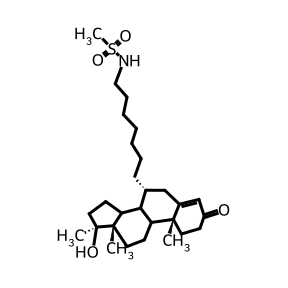 C[C@]12CCC(=O)C=C1C[C@@H](CCCCCCCNS(C)(=O)=O)C1C2CC[C@@]2(C)C1CC[C@]2(C)O